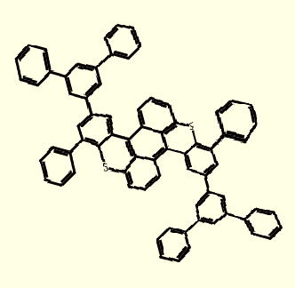 c1ccc(-c2cc(-c3ccccc3)cc(-c3cc(-c4ccccc4)c4sc5cccc6c5c(c4c3)c3cccc4sc5c(-c7ccccc7)cc(-c7cc(-c8ccccc8)cc(-c8ccccc8)c7)cc5c6c43)c2)cc1